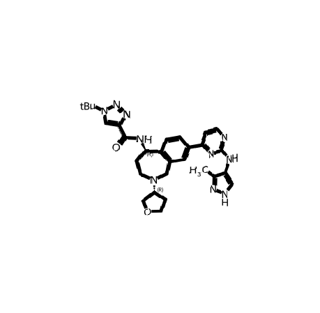 Cc1n[nH]cc1Nc1nccc(-c2ccc3c(c2)CN([C@@H]2CCOC2)CC[C@H]3NC(=O)c2cn(C(C)(C)C)nn2)n1